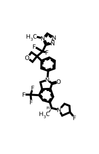 C[C@H](c1cc2c(c(C(F)(F)F)c1)CN(c1cccc(C3(C(F)(F)c4nncn4C)COC3)c1)C2=O)N1CCC(F)C1